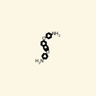 Nc1ccc(Oc2ccc3c(c2)C2CCC3C2Oc2ccc(N)cc2)cc1